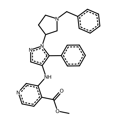 COC(=O)c1ccncc1Nc1cnn(C2CCN(Cc3ccccc3)C2)c1-c1ccccc1